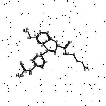 CCCCNC(=O)N1Cc2ccc(SC)cc2C(c2ccc(NC(C)=O)cc2)=N1